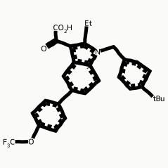 CCc1c(C(=O)C(=O)O)c2cc(-c3ccc(OC(F)(F)F)cc3)ccc2n1Cc1ccc(C(C)(C)C)cc1